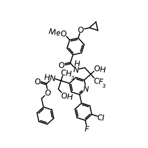 COc1cc(C(=O)NCC(O)(c2cc(C(C)(CO)NC(=O)OCc3ccccc3)cc(-c3ccc(F)c(Cl)c3)n2)C(F)(F)F)ccc1OC1CC1